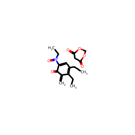 C=C1C(=O)C([N+](=O)CC)=CC(CC)=C1CC.O=C1CC(=O)OCO1